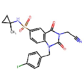 CC1(NS(=O)(=O)c2ccc3c(c2)c(=O)n(CC#N)c(=O)n3Cc2ccc(F)cc2)CC1